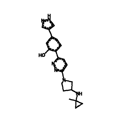 CC1(NC2CCN(c3ccc(-c4ccc(-c5cn[nH]c5)cc4O)nn3)C2)CC1